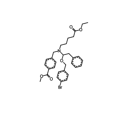 CCOC(=O)CCCCN(Cc1ccc(C(=O)OC)cc1)C(Cc1ccccc1)OCc1ccc(Br)cc1